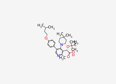 Cc1ncc(-c2ccc(OCCC(C)C)cc2)c(N2CCC(C)(C)CC2)c1[C@H](OC(C)(C)C)C(=O)O